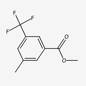 COC(=O)c1cc(C)cc(C(F)(F)F)c1